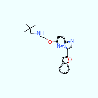 CC(C)(C)CNCCOc1ccc2ncc(-c3cc4ccccc4o3)n2n1